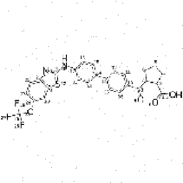 O=C(O)C1CCCC1C(=O)c1ccc(-c2ccc(Nc3nc4ccc(OC(F)(F)F)cc4s3)cc2)cc1